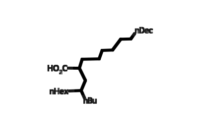 CCCCCCCCCCCCCCCCC(CC(CCCC)CCCCCC)C(=O)O